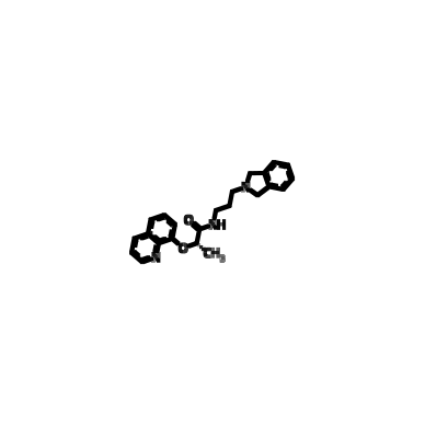 C[C@H](Oc1cccc2cccnc12)C(=O)NCCCN1Cc2ccccc2C1